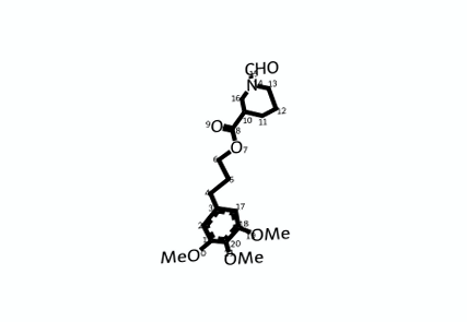 COc1cc(CCCOC(=O)C2CCCN(C=O)C2)cc(OC)c1OC